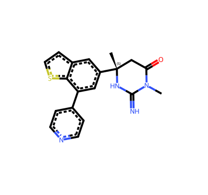 CN1C(=N)N[C@](C)(c2cc(-c3ccncc3)c3sccc3c2)CC1=O